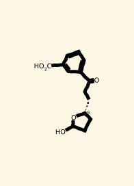 O=C(O)c1cccc(C(=O)CC[C@@H]2CCC(O)O2)c1